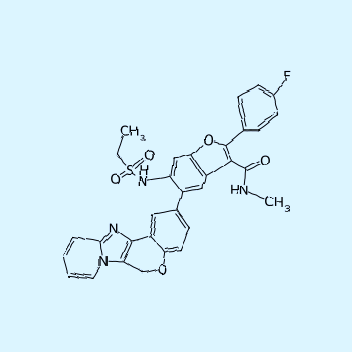 CCS(=O)(=O)Nc1cc2oc(-c3ccc(F)cc3)c(C(=O)NC)c2cc1-c1ccc2c(c1)-c1nc3ccccn3c1CO2